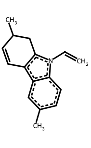 C=Cn1c2c(c3cc(C)ccc31)C=CC(C)C2